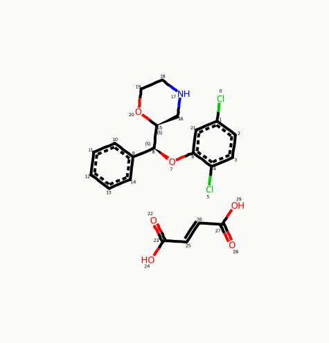 Clc1ccc(Cl)c(O[C@@H](c2ccccc2)[C@@H]2CNCCO2)c1.O=C(O)C=CC(=O)O